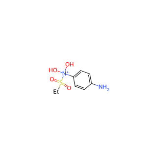 CCS(=O)(=O)[N+](O)(O)c1ccc(N)cc1